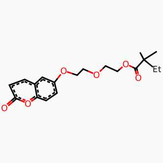 CCC(C)(C)C(=O)OCCOCCOc1ccc2oc(=O)ccc2c1